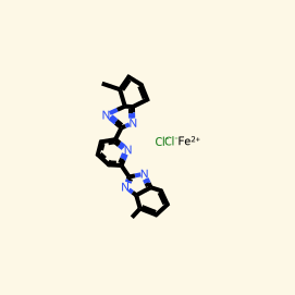 CC1=CC=CC2=NC(c3cccc(C4=NC5C(C)=CC=CC5=N4)n3)=NC12.[Cl-].[Cl-].[Fe+2]